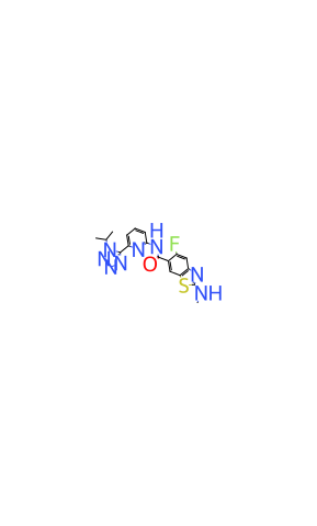 CNc1nc2cc(F)c(C(=O)Nc3cccc(-c4nnnn4C(C)C)n3)cc2s1